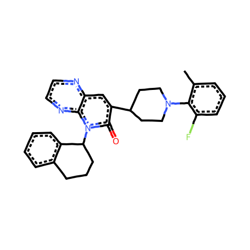 Cc1cccc(F)c1N1CCC(c2cc3nccnc3n(C3CCCc4ccccc43)c2=O)CC1